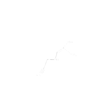 C#CCP/C=C(\C)C(C)(C)C